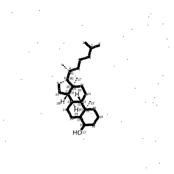 CC(C)CCC[C@@H](C)[C@H]1CC[C@H]2[C@@H]3CCC4C(O)CCC[C@]4(C)[C@H]3CC[C@]12C